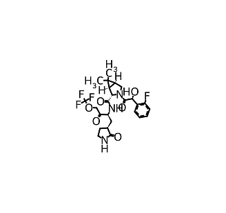 CC1(C)[C@@H]2[C@@H](C(=O)N[C@@H](C[C@@H]3CCNC3=O)C(=O)COC(F)(F)F)N(C(=O)[C@@H](O)c3ccccc3F)C[C@@H]21